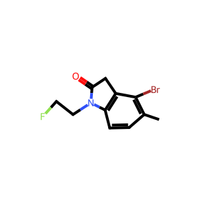 Cc1ccc2c(c1Br)CC(=O)N2CCF